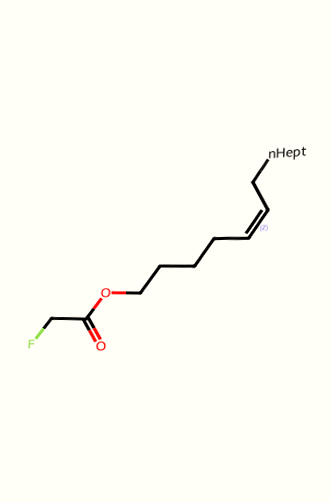 CCCCCCCC/C=C\CCCCOC(=O)CF